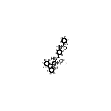 O=C(Nc1ccc(CNCCC2(C(=O)NCC(F)(F)F)c3ccccc3-c3ccccc32)cc1)c1ccccc1